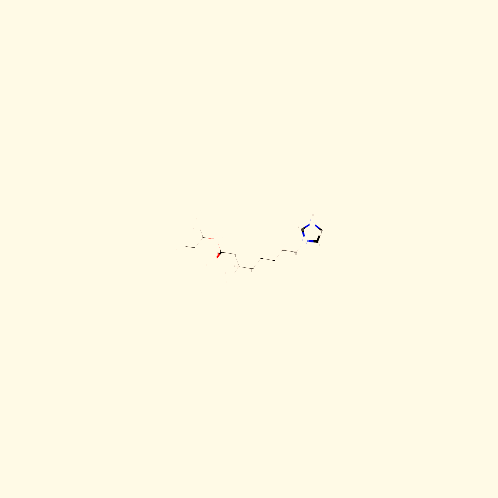 CCC(C)OC(=O)CC(C)CCCCCn1ccnc1